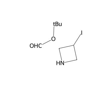 CC(C)(C)OC=O.IC1CNC1